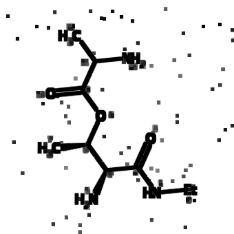 CCNC(=O)[C@@H](N)[C@@H](C)OC(=O)C(C)N